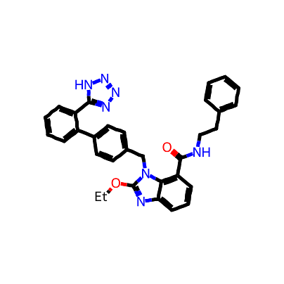 CCOc1nc2cccc(C(=O)NCCc3ccccc3)c2n1Cc1ccc(-c2ccccc2-c2nnn[nH]2)cc1